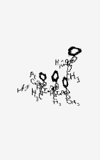 CCOP(OCC)Oc1ccccc1.CCOP(OCC)Oc1ccccc1.CCOP(OCC)Oc1ccccc1.CCOP(OCC)Oc1ccccc1.[Pt]